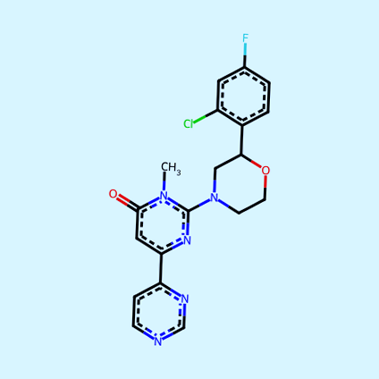 Cn1c(N2CCOC(c3ccc(F)cc3Cl)C2)nc(-c2ccncn2)cc1=O